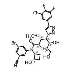 CO[C@@H]1[C@@H](n2cc(-c3cc(F)c(F)c(Cl)c3)nn2)[C@@H](O)[C@@H](CO)O[C@H]1C(=O)N(c1cc(Br)cc(C#N)c1)[C@H]1CC[C@@H]1O